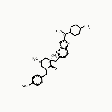 COc1ccc(CN2C[C@H](C(F)(F)F)C[C@@](C)(Cc3ccc4nc([C@@H](N)C5CCC(C)CC5)cn4n3)C2=O)cc1